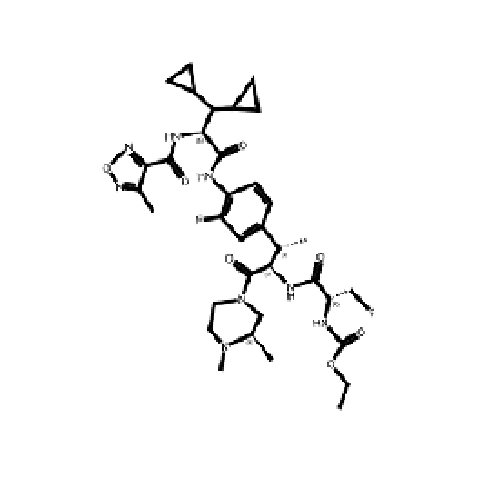 CCOC(=O)N[C@@H](CF)C(=O)N[C@@H](C(=O)N1CCN(C)[C@H](C)C1)[C@@H](C)c1ccc(NC(=O)[C@@H](NC(=O)c2nonc2C)C(C2CC2)C2CC2)c(F)c1